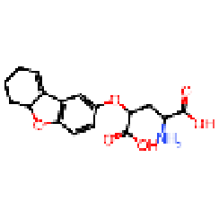 N[C@@H](CC(Oc1ccc2c(c1)C1=CCCCC1O2)C(=O)O)C(=O)O